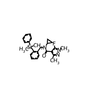 Cc1nn(C)c(F)c1C(=O)N(Cc1ccccc1[Si](C)(C)c1ccccc1)C1CC1